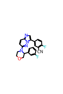 N#Cc1cc(-c2cnc3ccc(N4CCOCC4c4cccc(F)c4)nn23)ccc1F